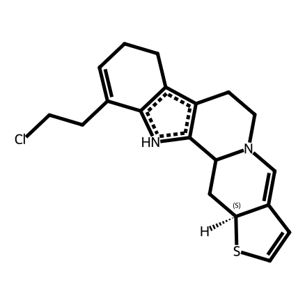 ClCCC1=CCCc2c1[nH]c1c2CCN2C=C3C=CS[C@H]3CC12